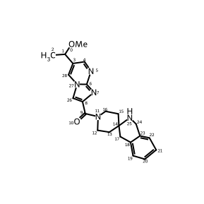 COC(C)c1cnc2nc(C(=O)N3CCC4(CC3)Cc3ccccc3CN4)cn2c1